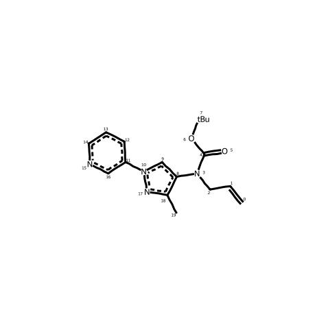 C=CCN(C(=O)OC(C)(C)C)c1cn(-c2cccnc2)nc1C